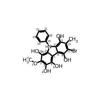 COc1c(O)c(O)c2c3c(O)c(Br)c(C)c(O)c3n(-c3ccccc3)c2c1O